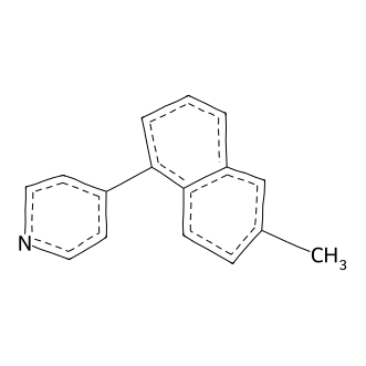 Cc1ccc2c(-c3ccncc3)cccc2c1